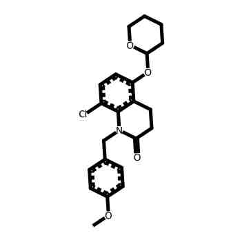 COc1ccc(CN2C(=O)CCc3c(OC4CCCCO4)ccc(Cl)c32)cc1